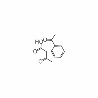 CC(=O)CC(=O)O.CC(=O)c1ccccc1